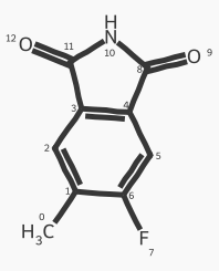 Cc1cc2c(cc1F)C(=O)NC2=O